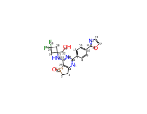 [O-][S@+]1CCc2nc(-c3ccc(-c4ncco4)cc3)nc(NC3(CO)CC(F)(F)C3)c21